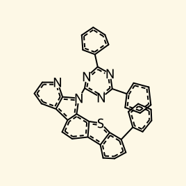 c1ccc(-c2nc(-c3ccccc3)nc(-n3c4ncccc4c4ccc5c6cccc(-c7ccccc7)c6sc5c43)n2)cc1